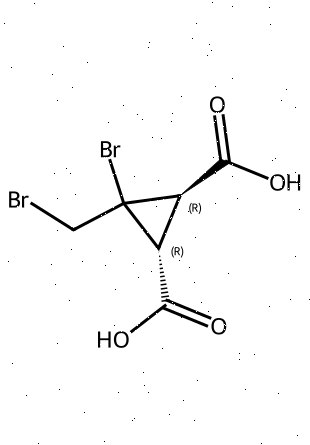 O=C(O)[C@H]1[C@H](C(=O)O)C1(Br)CBr